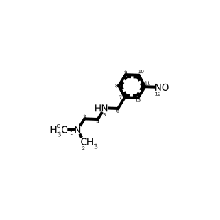 CN(C)CCNCc1cccc(N=O)c1